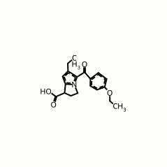 CCOc1ccc(C(=O)c2c(CC)cc3n2CCC3C(=O)O)cc1